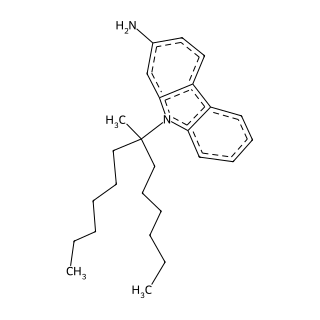 CCCCCCC(C)(CCCCCC)n1c2ccccc2c2ccc(N)cc21